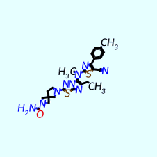 CCc1nc2sc(N3CCC4(CN(C(N)=O)C4)C3)nn2c1N(C)c1nc(-c2ccc(C)cc2)c(C#N)s1